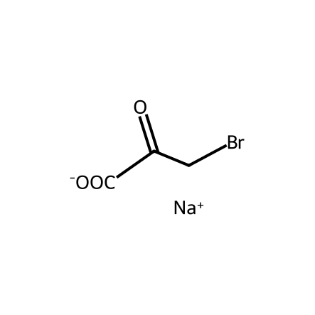 O=C([O-])C(=O)CBr.[Na+]